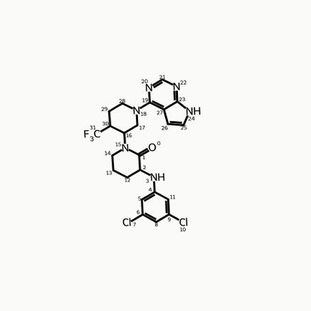 O=C1C(Nc2cc(Cl)cc(Cl)c2)CCCN1C1CN(c2ncnc3[nH]ccc23)CCC1C(F)(F)F